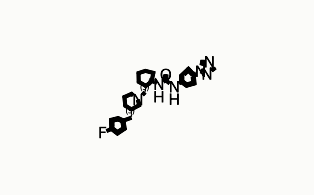 O=C(Nc1ccc(-n2cncn2)cc1)N[C@@H]1CCCC[C@H]1CN1CCC[C@@H](Cc2ccc(F)cc2)C1